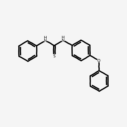 S=C(Nc1ccccc1)Nc1ccc(Oc2ccccc2)cc1